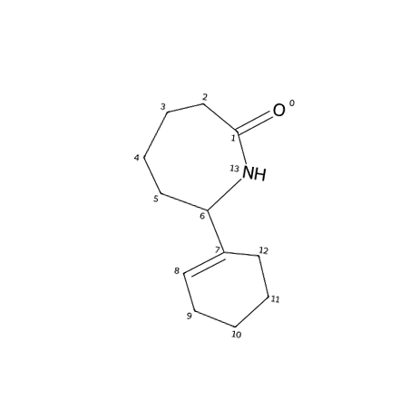 O=C1CCCCC(C2=CCCCC2)N1